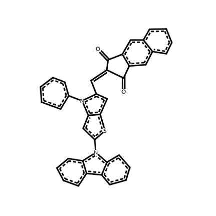 O=C1C(=Cc2cc3sc(-n4c5ccccc5c5ccccc54)cc3n2-c2ccccc2)C(=O)c2cc3ccccc3cc21